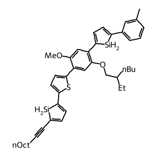 CCCCCCCCC#CC1=CC=C(c2ccc(-c3cc(OCC(CC)CCCC)c(C4=CC=C(c5cccc(C)c5)[SiH2]4)cc3OC)s2)[SiH2]1